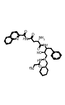 CC(C)(C)CC(=O)NN(CC1CCCCC1)CC(O)C(Cc1ccccc1)NC(=O)[C@@H](N)CC(=O)NC(=O)c1ccc2ccccc2n1